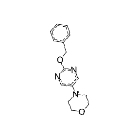 c1ccc(COc2ncc(N3CCOCC3)cn2)cc1